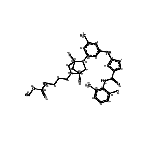 Cc1nc(Nc2ncc(C(=O)Nc3c(C)cccc3Cl)s2)cc(N2C[C@H]3C[C@@H]2CN3CCCNC(=O)OC(C)(C)C)n1